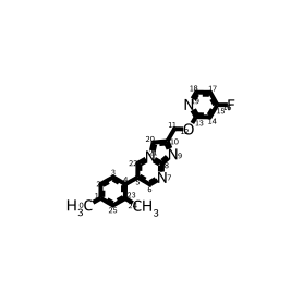 Cc1ccc(-c2cnc3nc(COc4cc(F)ccn4)cn3c2)c(C)c1